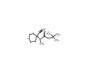 C#CC1(N(C)C(=O)OC(C)(C)C)CCCCC1